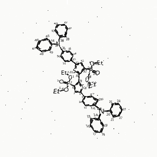 CCOP(=O)(OCC)c1cc(-c2ccc(N(c3ccccc3)c3ccccc3)cc2)sc1-c1sc(-c2ccc(N(c3ccccc3)c3ccccc3)cc2)cc1P(=O)(OCC)OCC